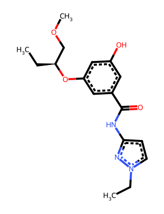 CC[C@@H](COC)Oc1cc(O)cc(C(=O)Nc2ccn(CC)n2)c1